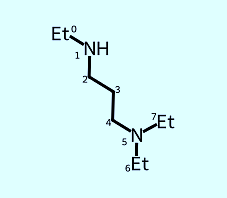 CCNCCCN(CC)CC